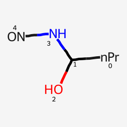 CCCC(O)NN=O